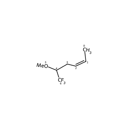 C/C=C\CC(OC)C(F)(F)F